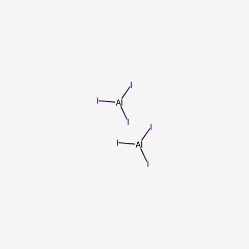 [I][Al]([I])[I].[I][Al]([I])[I]